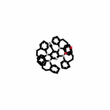 N#Cc1c(N2c3ccccc3CCc3ccccc32)c(N2c3ccccc3CCc3ccccc32)nc(N2c3ccccc3CCc3ccccc32)c1N1c2ccccc2CCc2ccccc21